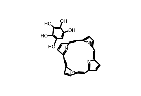 C1=Cc2cc3ccc(cc4nc(cc5ccc(cc1n2)[nH]5)C=C4)[nH]3.Oc1cc(O)c(O)c(O)c1O